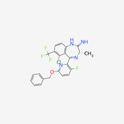 C[C@@H]1N=C(c2nc(OCc3ccccc3)ccc2F)c2c(ccc(C(F)(F)F)c2Cl)NC1=N